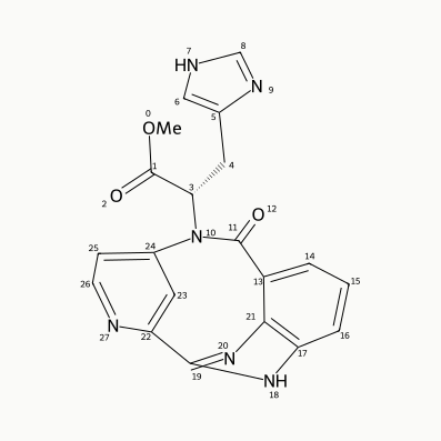 COC(=O)[C@H](Cc1c[nH]cn1)n1c(=O)c2cccc3[nH]c(nc32)c2cc1ccn2